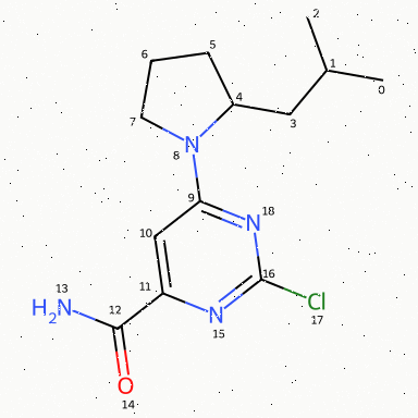 CC(C)CC1CCCN1c1cc(C(N)=O)nc(Cl)n1